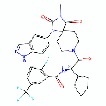 CN1C(=O)N(c2ccc3[nH]ncc3c2)C2(CCN(C(=O)[C@H](NC(=O)c3cc(C(F)(F)F)ccc3F)C3CCCC3)CC2)C1=O